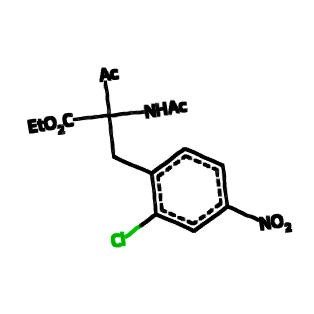 CCOC(=O)C(Cc1ccc([N+](=O)[O-])cc1Cl)(NC(C)=O)C(C)=O